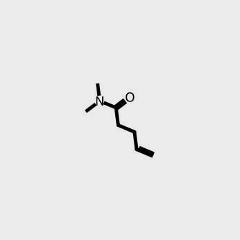 C=CCCC(=O)N(C)C